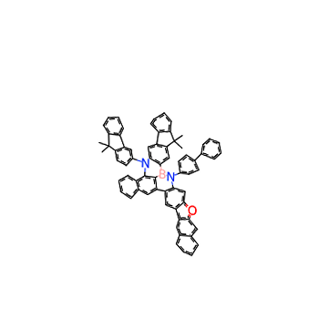 CC1(C)c2ccccc2-c2cc(N3c4cc5c(cc4B4c6c(cc7ccccc7c63)-c3cc6c(cc3N4c3ccc(-c4ccccc4)cc3)oc3cc4ccccc4cc36)C(C)(C)c3ccccc3-5)ccc21